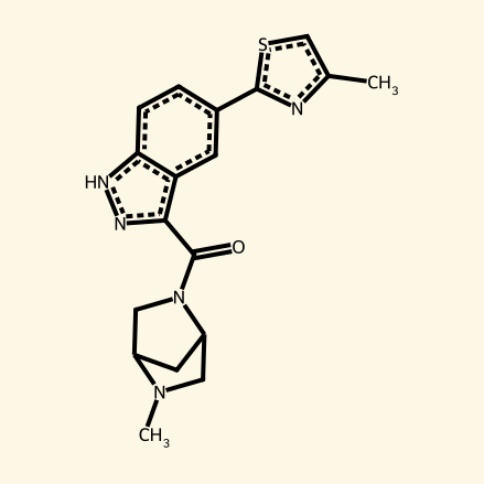 Cc1csc(-c2ccc3[nH]nc(C(=O)N4CC5CC4CN5C)c3c2)n1